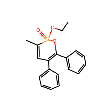 CCOP1(=O)OC(c2ccccc2)=C(c2ccccc2)C=C1C